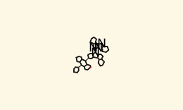 c1ccc(-c2c3ccccc3c(-c3ccc4c(c3)c3c5ccccc5ccc3n4-c3nc4ccccc4c4nc5ccccc5n34)c3ccccc23)cc1